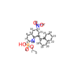 CCOP(=O)(O)c1ccc2cc([N+](=O)[O-])cc(-c3cccc4ccccc34)c2n1